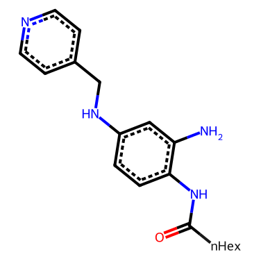 CCCCCCC(=O)Nc1ccc(NCc2ccncc2)cc1N